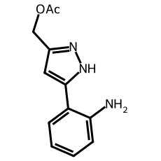 CC(=O)OCc1cc(-c2ccccc2N)[nH]n1